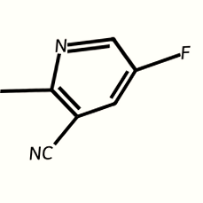 Cc1ncc(F)cc1C#N